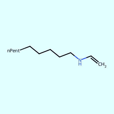 C=CNCCCCCCCCCC